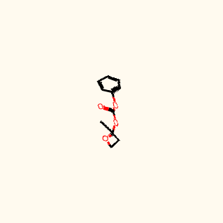 CC1(OC(=O)Oc2ccccc2)CCO1